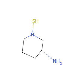 N[C@@H]1CCCN(S)C1